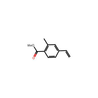 C=[C]c1ccc(C(=O)OC)c(C)c1